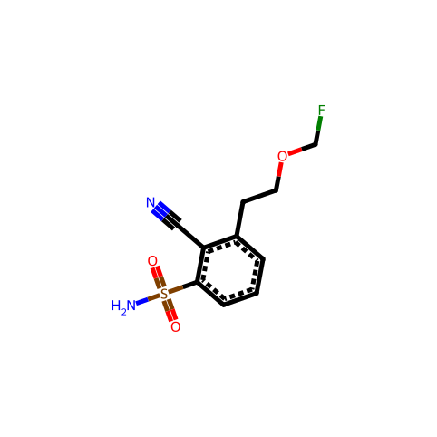 N#Cc1c(CCOCF)cccc1S(N)(=O)=O